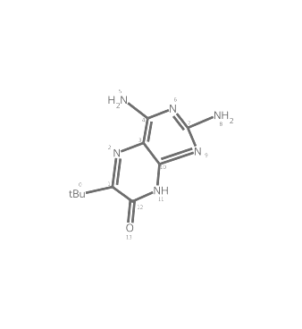 CC(C)(C)c1nc2c(N)nc(N)nc2[nH]c1=O